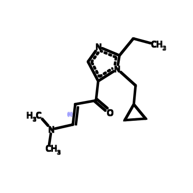 CCc1ncc(C(=O)/C=C/N(C)C)n1CC1CC1